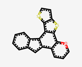 c1ccc2c(c1)cc1c3cccoc3c3sc4ccsc4c3c21